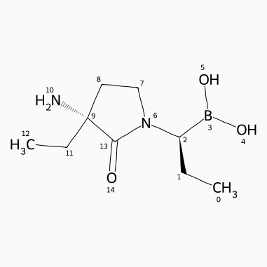 CC[C@H](B(O)O)N1CC[C@](N)(CC)C1=O